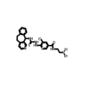 CCN(CC)CCNC(=O)c1cnc(NNC(=S)NC2c3ccccc3CCc3ccncc32)c(Cl)c1